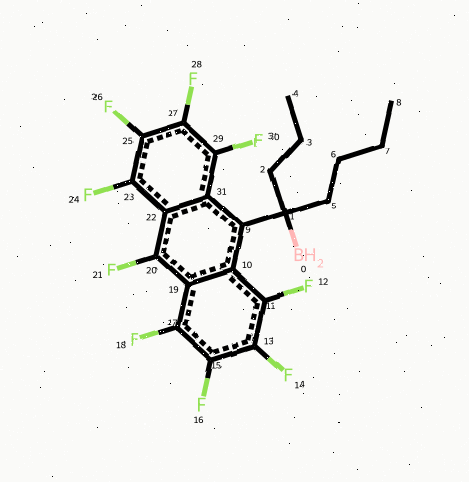 BC(CCC)(CCCC)c1c2c(F)c(F)c(F)c(F)c2c(F)c2c(F)c(F)c(F)c(F)c12